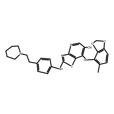 Cc1ccc2c(c1Nc1c(C#N)cnc3nc(Nc4ccc(CCN5CCCCC5)cc4)sc13)OCO2